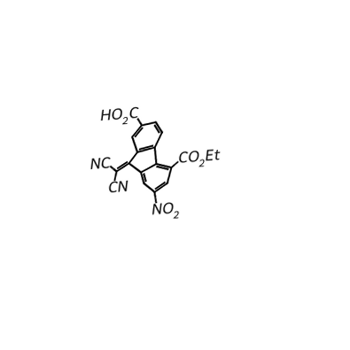 CCOC(=O)c1cc([N+](=O)[O-])cc2c1-c1ccc(C(=O)O)cc1C2=C(C#N)C#N